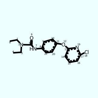 CCN(CC)C(=O)Nc1ccc(Oc2cccc(Cl)n2)cc1